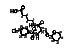 O=C(O)CCCCNC(=O)[C@H](COC1CCCCO1)NS(=O)(=O)c1ccc(Cl)cc1